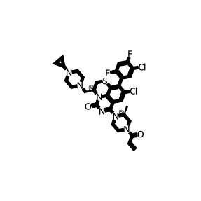 C=CC(=O)N1CCN(c2nc(=O)n3c4c(c(-c5cc(Cl)c(F)cc5F)c(Cl)cc24)SC[C@@H]3CN2CCN(C3CC3)CC2)[C@@H](C)C1